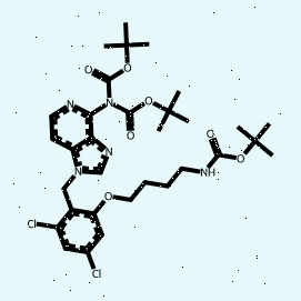 CC(C)(C)OC(=O)NCCCCOc1cc(Cl)cc(Cl)c1Cn1cnc2c(N(C(=O)OC(C)(C)C)C(=O)OC(C)(C)C)nccc21